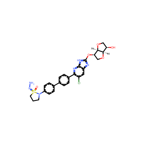 NN=S1(=O)CCCN1c1ccc(-c2ccc(-c3nc4[nH]c(O[C@@H]5CO[C@H]6[C@@H]5OC[C@H]6O)nc4cc3Cl)cc2)cc1